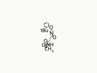 C[S+]([O-])NC(=O)CCC(=O)N1CC(Oc2ccccc2C(C)(C)C)C1